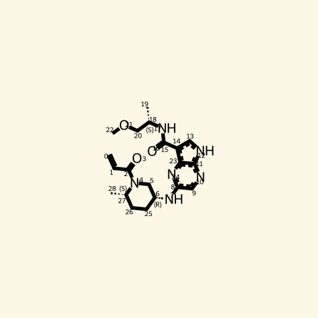 C=CC(=O)N1C[C@H](Nc2cnc3[nH]cc(C(=O)N[C@@H](C)COC)c3n2)CC[C@@H]1C